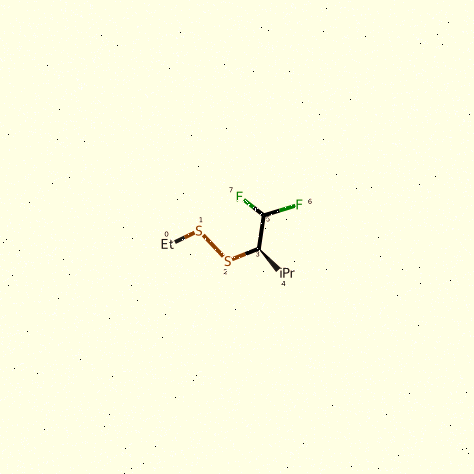 CCSS[C@H](C(C)C)C(F)F